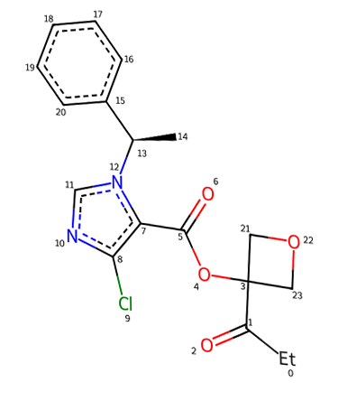 CCC(=O)C1(OC(=O)c2c(Cl)ncn2[C@H](C)c2ccccc2)COC1